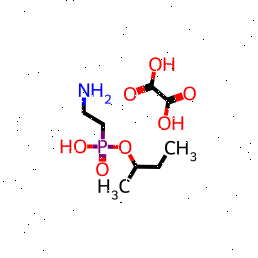 CCC(C)OP(=O)(O)CCN.O=C(O)C(=O)O